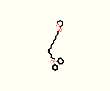 O=P(CCC/C=C\CCCCCCCCOC1CCCCO1)(c1ccccc1)c1ccccc1